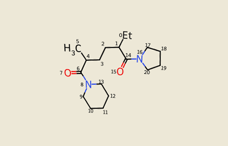 CCC(CCC(C)C(=O)N1CCCCC1)C(=O)N1CCCC1